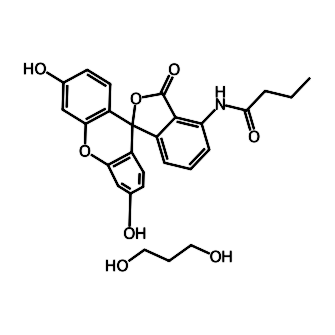 CCCC(=O)Nc1cccc2c1C(=O)OC21c2ccc(O)cc2Oc2cc(O)ccc21.OCCCO